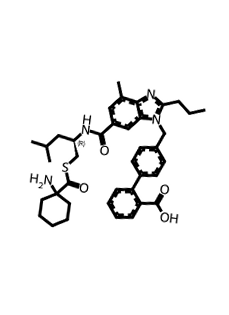 CCCc1nc2c(C)cc(C(=O)N[C@@H](CSC(=O)C3(N)CCCCC3)CC(C)C)cc2n1Cc1ccc(-c2ccccc2C(=O)O)cc1